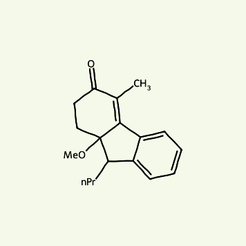 CCCC1c2ccccc2C2=C(C)C(=O)CCC21OC